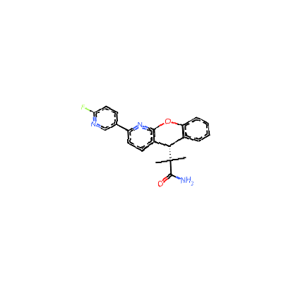 CC(C)(C(N)=O)[C@H]1c2ccccc2Oc2nc(-c3ccc(F)nc3)ccc21